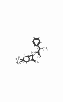 C[C@@H](C(=O)N[C@@H]1C(=O)N2CC(C)(C)SC12)c1ccccc1